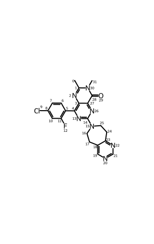 Cc1nc2c(-c3ccc(Cl)cc3F)nc(N3CCc4cncnc4CC3)nc2c(=O)n1C